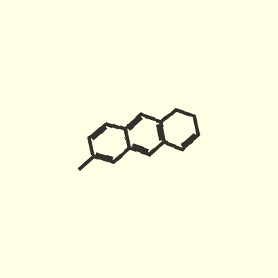 Cc1ccc2cc3c(cc2c1)C=CCC3